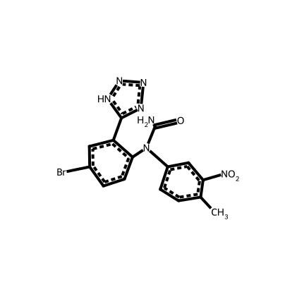 Cc1ccc(N(C(N)=O)c2ccc(Br)cc2-c2nnn[nH]2)cc1[N+](=O)[O-]